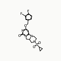 O=c1nc(OCc2ccc(F)c(F)c2)cc2n1CC1CN(S(=O)(=O)C3CC3)CCN21